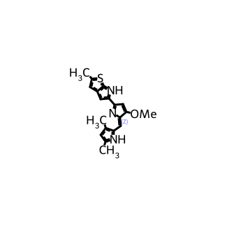 COC1=CC(c2cc3cc(C)sc3[nH]2)=N/C1=C\c1[nH]c(C)cc1C